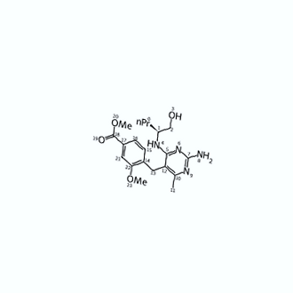 CCC[C@@H](CO)Nc1nc(N)nc(C)c1Cc1ccc(C(=O)OC)cc1OC